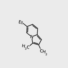 CCc1ccc2cc(C)c(C)n2c1